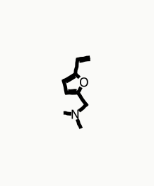 C=Cc1ccc(CN(C)C)o1